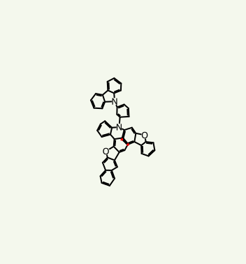 c1cc(N(c2ccc3c(c2)oc2ccccc23)c2ccccc2-c2cccc3c2oc2cc4ccccc4cc23)cc(-n2c3ccccc3c3ccccc32)c1